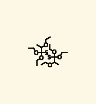 CCOC(C)C(OCC)(OCC)SSC(OCC)(OCC)C(C)OCC